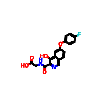 O=C(O)CNC(=O)c1ncc2ccc(Oc3ccc(F)cc3)cc2c1O